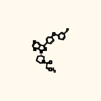 C=CC(=O)N1CCC[C@H](n2nc(-c3ccc(Oc4cccc(F)c4)cc3)c3cncnc32)C1